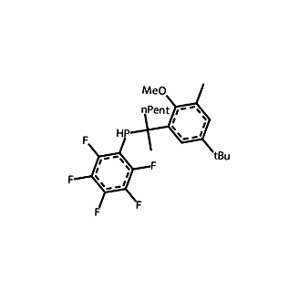 CCCCCC(C)(Pc1c(F)c(F)c(F)c(F)c1F)c1cc(C(C)(C)C)cc(C)c1OC